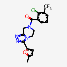 Cc1ccc(-c2nnc3n2CCN(C(=O)c2cccc(C(F)(F)F)c2Cl)C3)o1